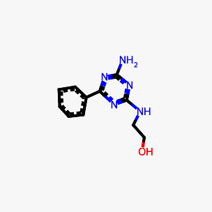 Nc1nc(NCCO)nc(-c2ccccc2)n1